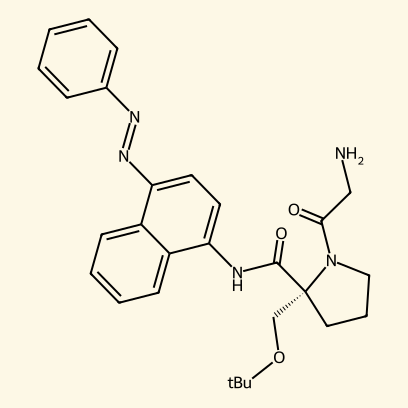 CC(C)(C)OC[C@@]1(C(=O)Nc2ccc(N=Nc3ccccc3)c3ccccc23)CCCN1C(=O)CN